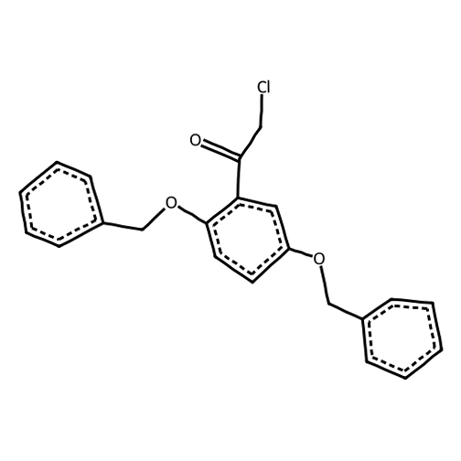 O=C(CCl)c1cc(OCc2ccccc2)ccc1OCc1ccccc1